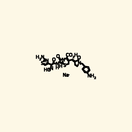 Nc1ccc(CN2CCC(=CC3=C(C(=O)O)N4C(=O)[C@@H](NC(=O)C(=NO)c5csc(N)n5)[C@H]4SC3)C2=O)cc1.[Na]